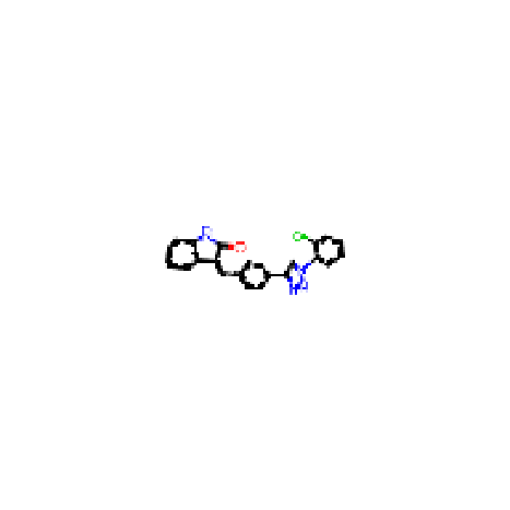 O=C1Nc2ccccc2C1=Cc1ccc(-c2cn(-c3ccccc3Cl)nn2)cc1